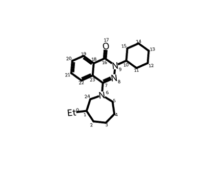 [CH2]CC1CCCCN(c2nn(C3CCCCC3)c(=O)c3ccccc23)C1